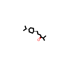 CC(C)C(=O)CCC[C@H]1CC[C@H](C(C)C)CC1